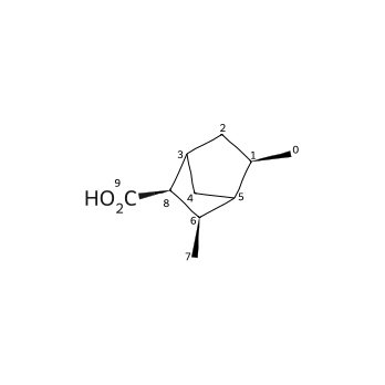 C[C@@H]1CC2CC1[C@@H](C)[C@H]2C(=O)O